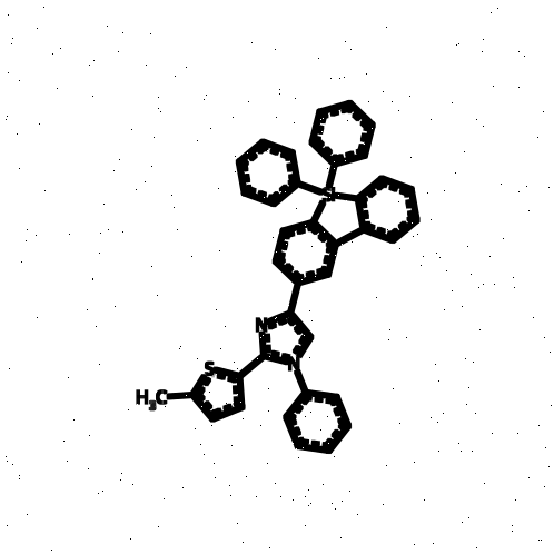 Cc1ccc(-c2nc(-c3ccc4c(c3)-c3ccccc3[Si]4(c3ccccc3)c3ccccc3)cn2-c2ccccc2)s1